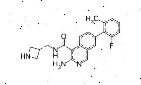 Cc1cccc(F)c1-c1ccc2c(C(=O)NCC3CNC3)c(N)ncc2c1